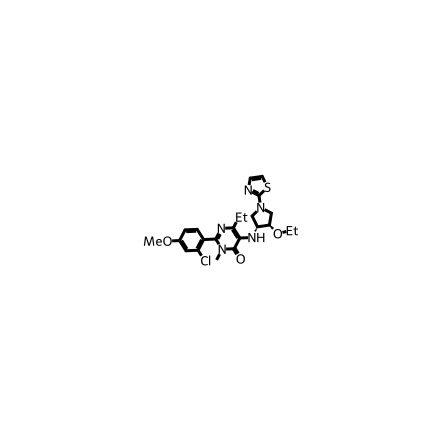 CCO[C@@H]1CN(c2nccs2)C[C@H]1Nc1c(CC)nc(-c2ccc(OC)cc2Cl)n(C)c1=O